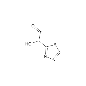 O=[C]C(O)c1nncs1